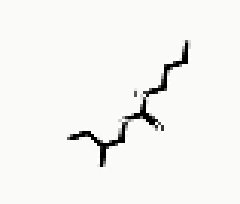 CCCCNC(=O)OCC(C)CC